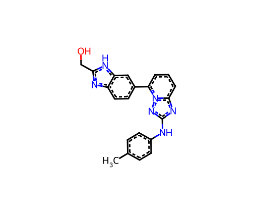 Cc1ccc(Nc2nc3cccc(-c4ccc5nc(CO)[nH]c5c4)n3n2)cc1